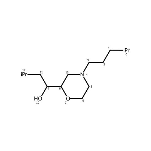 CC(C)CCCN1CCOC(C(O)CC(C)C)C1